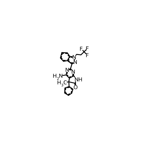 CC1(c2ccccc2)C(=O)Nc2nc(-c3nn(CCC(F)(F)F)c4ccccc34)nc(N)c21